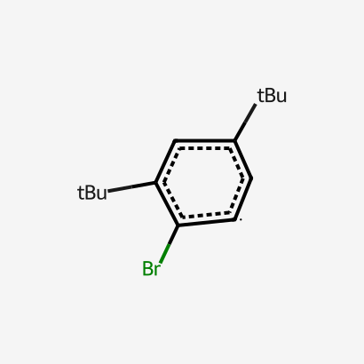 CC(C)(C)c1c[c]c(Br)c(C(C)(C)C)c1